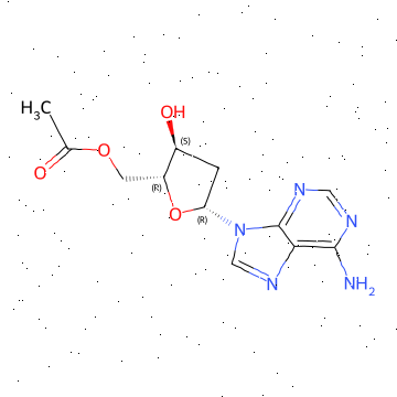 CC(=O)OC[C@H]1O[C@@H](n2cnc3c(N)ncnc32)C[C@@H]1O